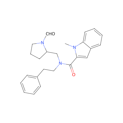 Cn1c(C(=O)N(CCc2ccccc2)CC2CCCN2C=O)cc2ccccc21